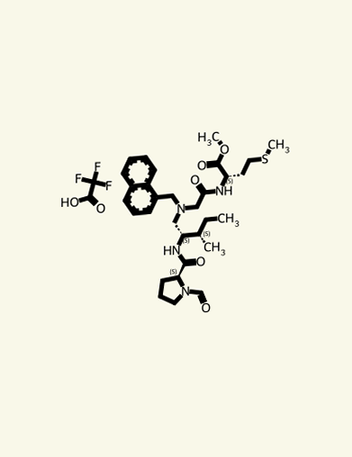 CC[C@H](C)[C@@H](CN(CC(=O)N[C@@H](CCSC)C(=O)OC)Cc1cccc2ccccc12)NC(=O)[C@@H]1CCCN1C=O.O=C(O)C(F)(F)F